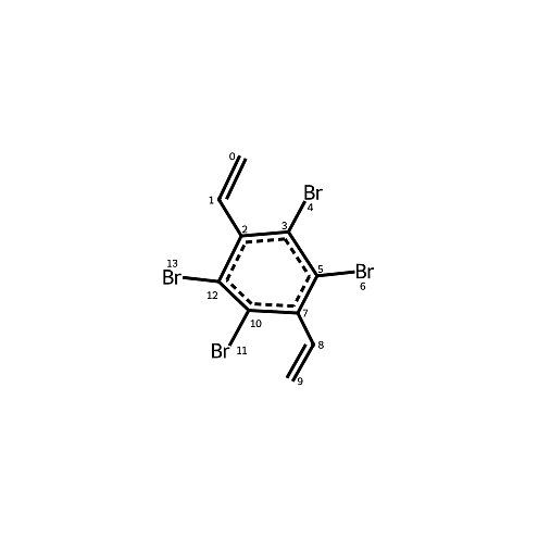 C=Cc1c(Br)c(Br)c(C=C)c(Br)c1Br